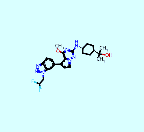 COc1nc(N[C@H]2CC[C@H](C(C)(C)O)CC2)nn2ccc(-c3ccc4nnn(CC(F)F)c4c3)c12